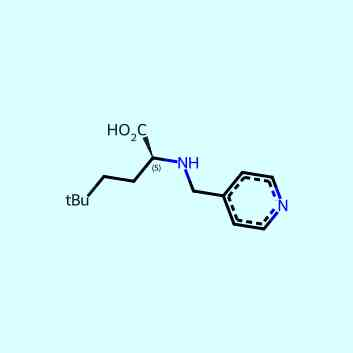 CC(C)(C)CC[C@H](NCc1ccncc1)C(=O)O